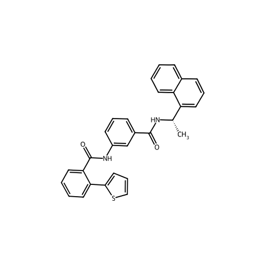 C[C@H](NC(=O)c1cccc(NC(=O)c2ccccc2-c2cccs2)c1)c1cccc2ccccc12